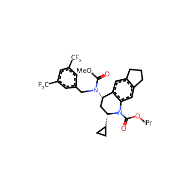 COC(=O)N(Cc1cc(C(F)(F)F)cc(C(F)(F)F)c1)[C@H]1C[C@@H](C2CC2)N(C(=O)OC(C)C)c2cc3c(cc21)CCC3